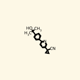 CC(C)(O)c1ccc(-c2ccc(C3(C#N)CC3)cn2)cc1